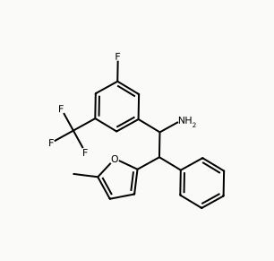 Cc1ccc(C(c2ccccc2)C(N)c2cc(F)cc(C(F)(F)F)c2)o1